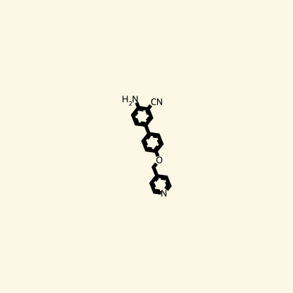 N#Cc1cc(-c2ccc(OCc3ccncc3)cc2)ccc1N